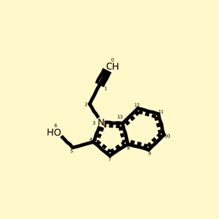 C#CCn1c(CO)cc2ccccc21